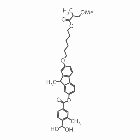 COCC(C)C(=O)OCCCCCCOc1ccc2c(c1)C(C)c1cc(OC(=O)c3ccc(C(O)O)c(C)c3)ccc1-2